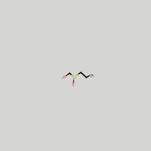 CCC[S+]([O-])C[O]